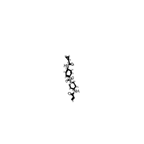 C=CC(=O)NC1CCN(S(=O)(=O)c2ccc(NC(=O)C3CC3)cc2)CC1